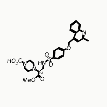 COC(=O)[C@H](CNS(=O)(=O)c1ccc(OCc2cc(C)nc3ccccc23)cc1)N1CCN(C(=O)O)CC1